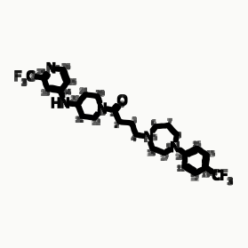 O=C(CCCN1CCCN(c2ccc(C(F)(F)F)cc2)CC1)N1CCC(Nc2ccnc(C(F)(F)F)c2)CC1